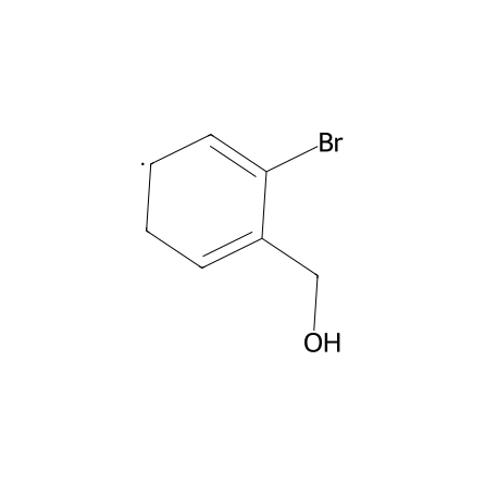 OCC1=CC[CH]C=C1Br